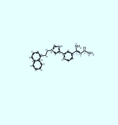 NN/N=C(\N)c1ccnc(-c2cn(CCc3cccc4ccccc34)cn2)c1